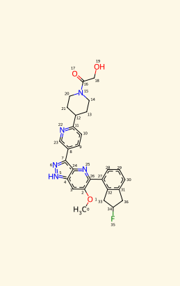 COc1cc2[nH]nc(-c3ccc(C4CCN(C(=O)CO)CC4)nc3)c2nc1-c1cccc2c1CC(F)C2